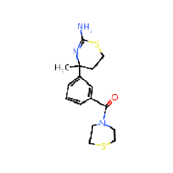 CC1(c2cccc(C(=O)N3CCSCC3)c2)CCSC(N)=N1